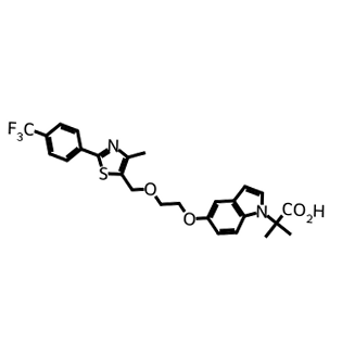 Cc1nc(-c2ccc(C(F)(F)F)cc2)sc1COCCOc1ccc2c(ccn2C(C)(C)C(=O)O)c1